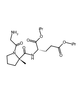 CC(C)OC(=O)CC[C@H](NC(=O)[C@]1(C)CCCN1C(=O)CN)C(=O)OC(C)C